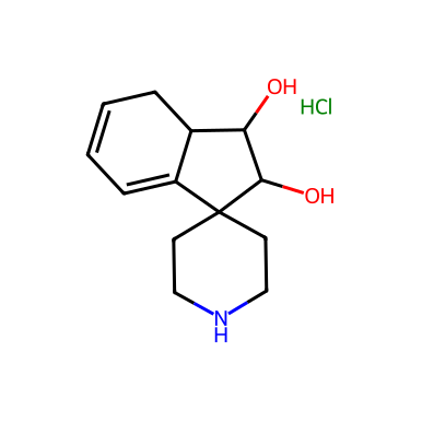 Cl.OC1C2CC=CC=C2C2(CCNCC2)C1O